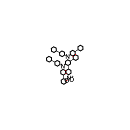 O=[N+]([O-])c1ccc(-c2cc(-c3ccccc3)c(N(c3ccc(-c4ccccc4)cc3)c3ccc(-c4ccccc4)cc3)cc2N(c2ccc(-c3ccccc3)cc2)c2ccc(-c3ccccc3)cc2)cc1